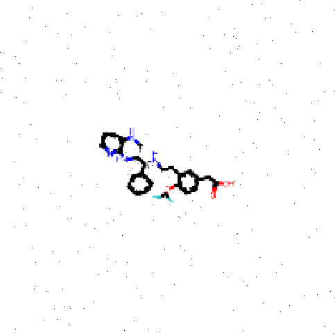 O=C(O)Cc1ccc(OC(F)F)c(CCN[C@H](c2ccccc2)[C@H]2CNc3cccnc3N2)c1